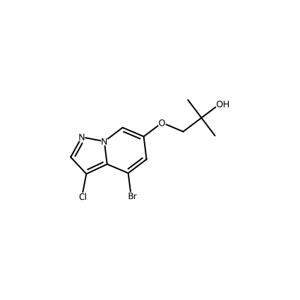 CC(C)(O)COc1cc(Br)c2c(Cl)cnn2c1